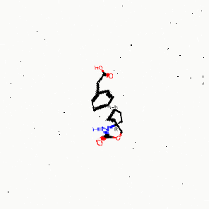 O=C(O)Cc1ccc([C@@H]2CC[C@]3(COC(=O)N3)C2)cc1